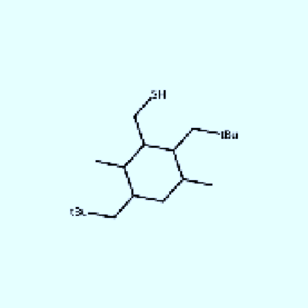 CC1CC(CC(C)(C)C)C(C)C(CS)C1CC(C)(C)C